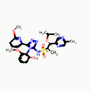 COC1=NC(c2nnc(NS(=O)(=O)[C@H](C)[C@H](OC(C)C)c3cnc(C)cn3)n2-c2c(O)cccc2OC)=C=C=C1